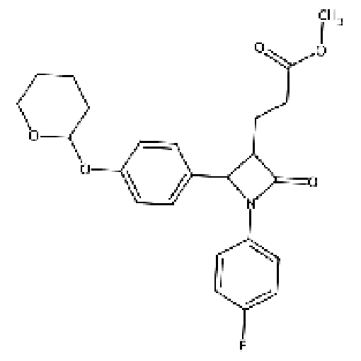 COC(=O)CCC1C(=O)N(c2ccc(F)cc2)C1c1ccc(OC2CCCCO2)cc1